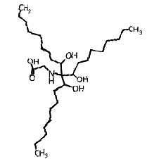 CCCCCCCCC(O)C(NCC(=O)O)(C(O)CCCCCCCC)C(O)CCCCCCCC